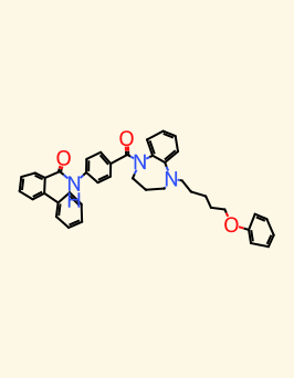 O=C(Nc1ccc(C(=O)N2CCCN(CCCCCOc3ccccc3)c3ccccc32)cc1)c1ccccc1-c1ccccc1